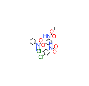 CCOC(=O)Nc1cccc(OC(=O)Nc2ccccc2)c1.COC(=O)Nc1ccc(Cl)c(Cl)c1